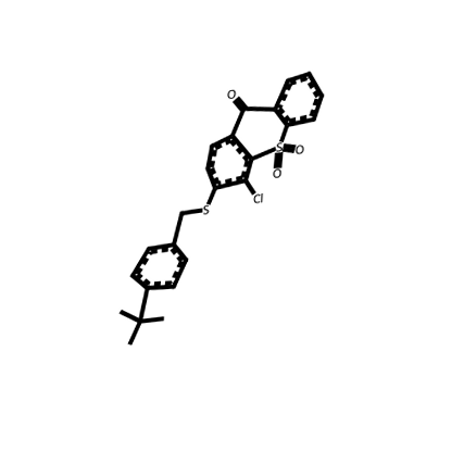 CC(C)(C)c1ccc(CSc2ccc3c(c2Cl)S(=O)(=O)c2ccccc2C3=O)cc1